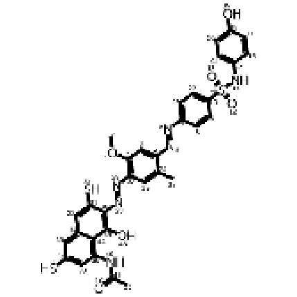 COc1cc(/N=N/c2ccc(S(=O)(=O)Nc3ccc(O)cc3)cc2)c(C)cc1/N=N/c1c(S)cc2cc(S)cc(NC(C)=O)c2c1O